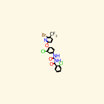 O=C(NC(=O)c1ccccc1Cl)Nc1ccc(Oc2ccc(C(F)(F)F)c(Br)n2)c(Cl)c1